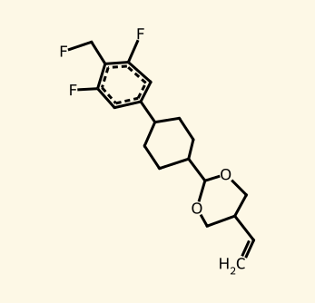 C=CC1COC(C2CCC(c3cc(F)c(CF)c(F)c3)CC2)OC1